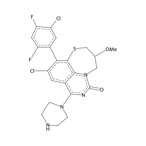 COC1CSc2c(-c3cc(Cl)c(F)cc3F)c(Cl)cc3c(N4CCNCC4)nc(=O)n(c23)C1